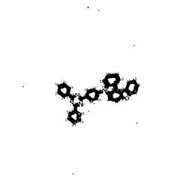 C1=Cc2oc3ccc4c(c5ccccc5n4-c4ccc(-c5nc(-c6ccccc6)nc(-c6ccccc6)n5)cc4)c3c2CC1